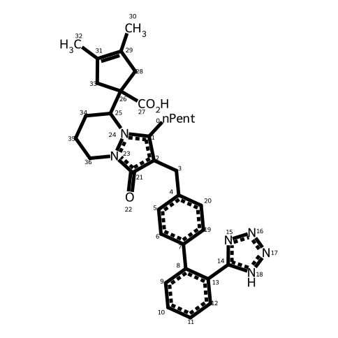 CCCCCc1c(Cc2ccc(-c3ccccc3-c3nnn[nH]3)cc2)c(=O)n2n1C(C1(C(=O)O)CC(C)=C(C)C1)CCC2